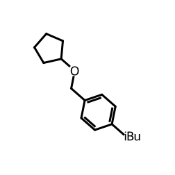 CCC(C)c1ccc(COC2CCCC2)cc1